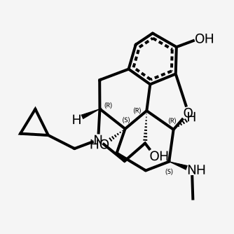 CN[C@H]1CC[C@@]2(O)[C@H]3Cc4ccc(O)c5c4[C@@]2(C(O)CN3CC2CC2)[C@H]1O5